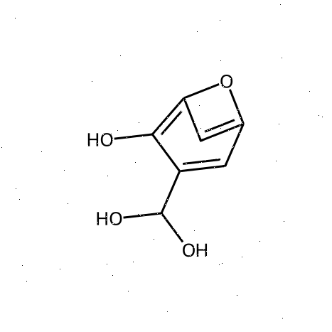 Oc1c2cc(cc1C(O)O)O2